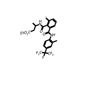 CCOC(=O)CC(C)NC(=O)c1c(I)cccc1C(=O)Nc1ccc(C(F)(C(F)(F)F)C(F)(F)F)cc1C